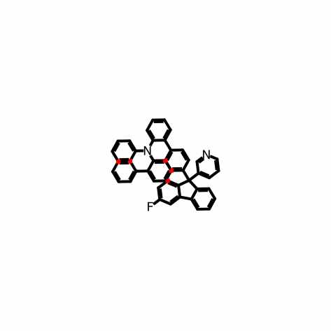 Fc1ccc2c(c1)-c1ccccc1C2(c1ccc(-c2ccccc2N(c2ccccc2)c2ccccc2-c2ccccc2)cc1)c1cccnc1